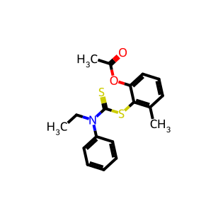 CCN(C(=S)Sc1c(C)cccc1OC(C)=O)c1ccccc1